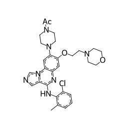 CC(=O)N1CCN(c2cc3c(cc2OCCN2CCOCC2)nc(Nc2c(C)cccc2Cl)c2cncn23)CC1